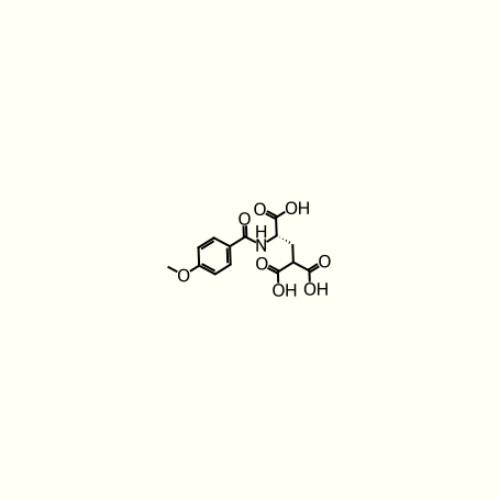 COc1ccc(C(=O)N[C@@H](CC(C(=O)O)C(=O)O)C(=O)O)cc1